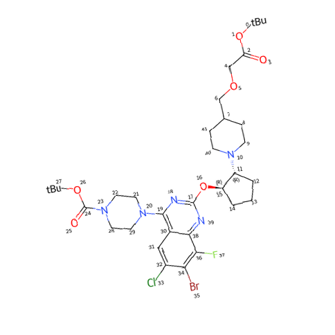 CC(C)(C)OC(=O)COCC1CCN([C@@H]2CCC[C@H]2Oc2nc(N3CCN(C(=O)OC(C)(C)C)CC3)c3cc(Cl)c(Br)c(F)c3n2)CC1